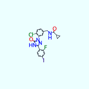 O=C(NCc1ccc(Cl)c(-n2nc(-c3ccc(I)cc3F)[nH]c2=O)c1)C1CC1